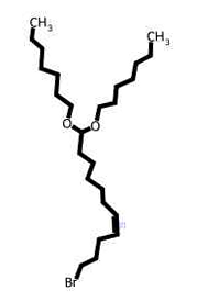 CCCCCCCOC(CCCCC/C=C\CCCBr)OCCCCCCC